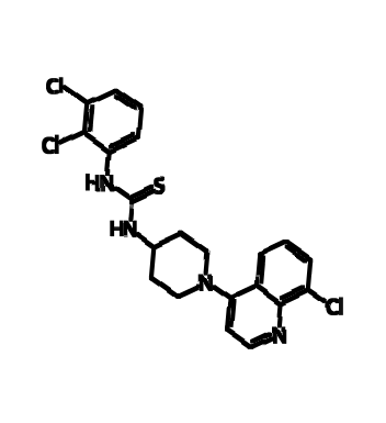 S=C(Nc1cccc(Cl)c1Cl)NC1CCN(c2ccnc3c(Cl)cccc23)CC1